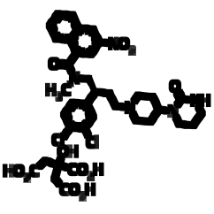 CN(C[C@@H](CCN1CCC(N2CCCNC2=O)CC1)c1ccc(Cl)c(Cl)c1)C(=O)c1cc([N+](=O)[O-])cc2ccccc12.O=C(O)CC(O)(CC(=O)O)C(=O)O